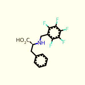 O=C(O)[C@H](Cc1ccccc1)NCc1c(F)c(F)c(F)c(F)c1F